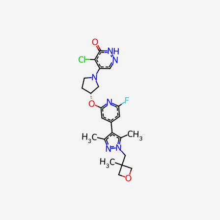 Cc1nn(CC2(C)COC2)c(C)c1-c1cc(F)nc(O[C@@H]2CCN(c3cn[nH]c(=O)c3Cl)C2)c1